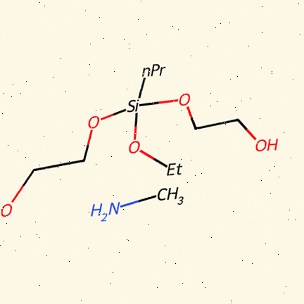 CCC[Si](OCC)(OCCO)OCCO.CN